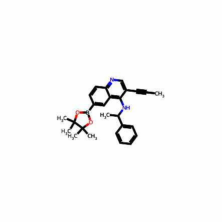 CC#Cc1cnc2ccc(B3OC(C)(C)C(C)(C)O3)cc2c1NC(C)c1ccccc1